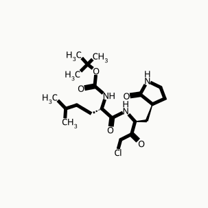 CC(C)CC[C@H](NC(=O)OC(C)(C)C)C(=O)N[C@@H](C[C@@H]1CCNC1=O)C(=O)CCl